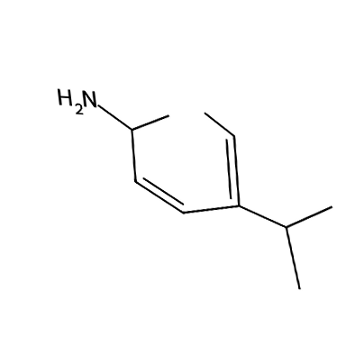 C/C=C(\C=C/C(C)N)C(C)C